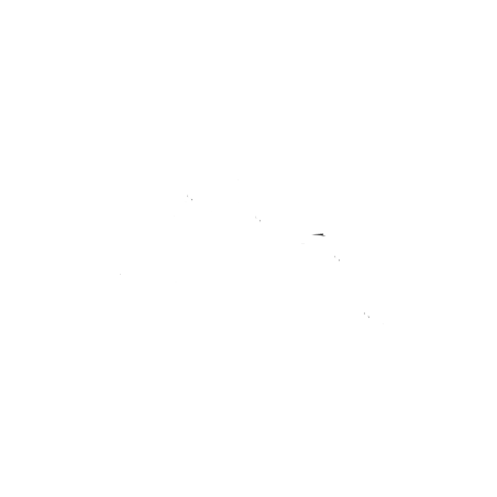 NC1CN(C(=O)[C@H]2CCN(C(=O)c3cc4c(Cl)c(Cl)ccc4[nH]3)C2)C1